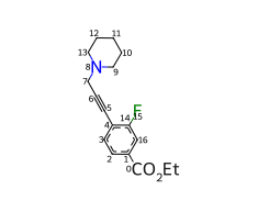 CCOC(=O)c1ccc(C#CCN2CCCCC2)c(F)c1